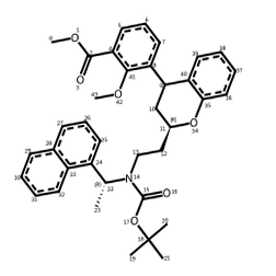 COC(=O)c1cccc(C2C[C@H](CCN(C(=O)OC(C)(C)C)[C@H](C)c3cccc4ccccc34)Oc3ccccc32)c1OC